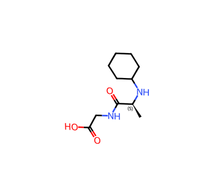 C[C@H](NC1CCCCC1)C(=O)NCC(=O)O